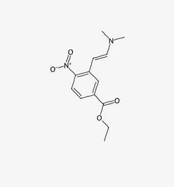 CCOC(=O)c1ccc([N+](=O)[O-])c(C=CN(C)C)c1